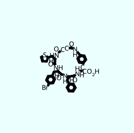 O=C1CCC(=O)N[C@H](CC2CC=CS2)C(=O)N[C@@H](Cc2ccc(Br)cc2)C(=O)N[C@H](Cc2ccccc2)C(=O)N[C@H](C(=O)O)Cc2ccc(cc2)N1